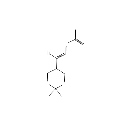 C=C(C)S/C=C(\N)C1COC(C)(C)OC1